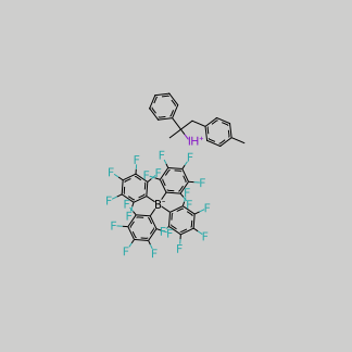 Cc1ccc(CC(C)([IH+])c2ccccc2)cc1.Fc1c(F)c(F)c([B-](c2c(F)c(F)c(F)c(F)c2F)(c2c(F)c(F)c(F)c(F)c2F)c2c(F)c(F)c(F)c(F)c2F)c(F)c1F